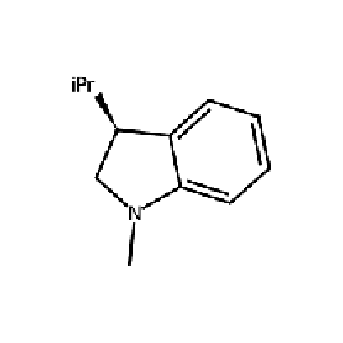 CC(C)[C@@H]1CN(C)c2ccccc21